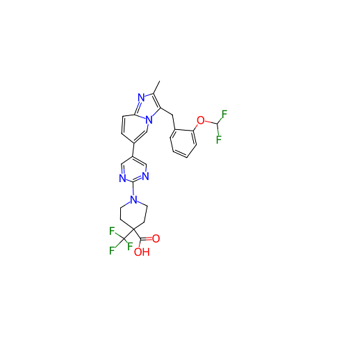 Cc1nc2ccc(-c3cnc(N4CCC(C(=O)O)(C(F)(F)F)CC4)nc3)cn2c1Cc1ccccc1OC(F)F